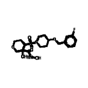 O=C(NO)C1(O)COCCC1S(=O)(=O)N1CCC(OCc2cccc(F)c2)CC1